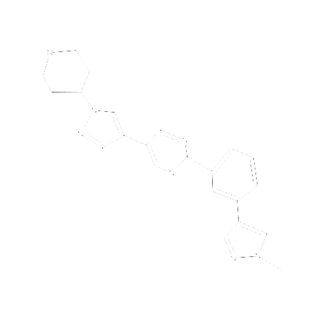 Cn1cc(-c2cccc(-c3ncc(-c4cnn(C5CCNC[C@H]5F)c4)cn3)c2)cn1